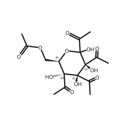 CC(=O)OC[C@H]1OC(O)(C(C)=O)[C@](O)(C(C)=O)[C@](O)(C(C)=O)[C@@]1(O)C(C)=O